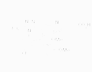 COc1cccc(C2SC(Cc3nc(CCC(=O)O)cs3)c3nnc(C(F)(F)F)n3-c3ccc(Cl)cc32)c1OC